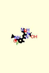 Cc1cc(F)c(C(=O)NC2CC2)cc1-c1cnc(N[C@@H](C)CO)c(-c2cnco2)c1